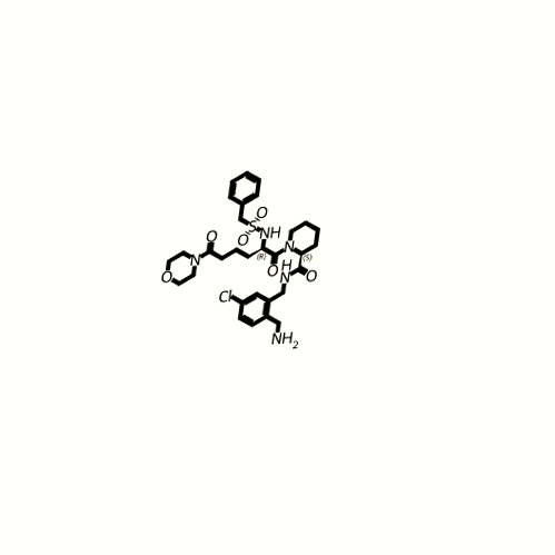 NCc1ccc(Cl)cc1CNC(=O)[C@@H]1CCCCN1C(=O)[C@@H](CCCC(=O)N1CCOCC1)NS(=O)(=O)Cc1ccccc1